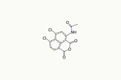 CC(=O)Nc1cc(Cl)c2c(Cl)ccc3c2c1C(=O)OC3=O